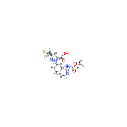 CC(C)(C)OC(=O)Nc1nccc2ccc(-n3nc(C(F)(F)F)cc3C(=O)O)cc12